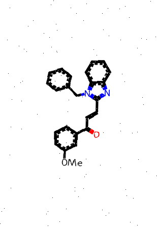 COc1cccc(C(=O)C=Cc2nc3ccccc3n2Cc2ccccc2)c1